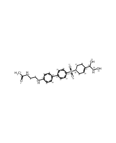 CC(=O)NCCNc1ccc(-c2ccc(S(=O)(=O)N3CC=C(C(O)NO)CC3)cc2)cc1